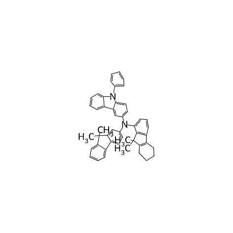 CC1(C)C2=C(CCCC2)c2cccc(N(c3ccc4c(c3)C(C)(C)c3ccccc3-4)c3ccc4c(c3)c3ccccc3n4-c3ccccc3)c21